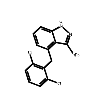 CC[CH]c1n[nH]c2cccc(Cc3c(Cl)cccc3Cl)c12